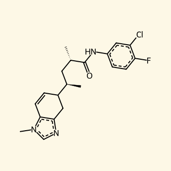 C[C@H](C[C@H](C)C(=O)Nc1ccc(F)c(Cl)c1)C1C=Cc2c(ncn2C)C1